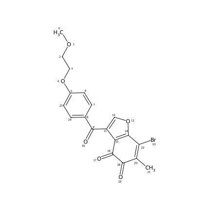 COCCOc1ccc(C(=O)c2coc3c2C(=O)C(=O)C(C)=C3Br)cc1